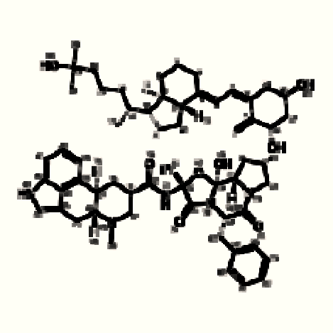 C=C1/C(=C\C=C2/CCC[C@]3(C)[C@@H]([C@H](C)CCCC(C)(C)O)CC[C@@H]23)C[C@@H](O)C[C@@H]1O.CC(C)[C@@]1(NC(=O)[C@@H]2C[C@@H]3c4cccc5[nH]cc(c45)C[C@H]3N(C)C2)O[C@@]2(O)[C@@H]3CCCN3C(=O)[C@H](Cc3ccccc3)N2C1=O